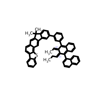 C/C=c1/c(-c2cccc(-c3ccc4c(c3)-c3cc5c(ccc6c7ccccc7sc56)cc3C4(C)C)c2)c2ccccc2c(-c2cccc3ccccc23)/c1=C/CC